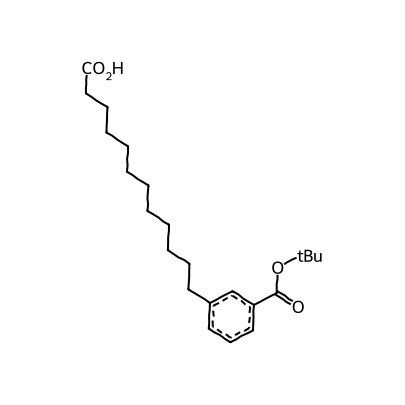 CC(C)(C)OC(=O)c1cccc(CCCCCCCCCCCC(=O)O)c1